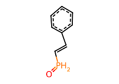 O=[PH2]C=Cc1ccccc1